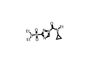 CCN(C(=O)n1cnc(S(=O)(=O)N(CC)CC)n1)C1CC1